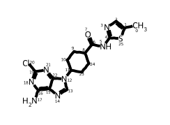 Cc1cnc(NC(=O)C2CCC(n3cnc4c(N)nc(Cl)nc43)CC2)s1